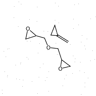 C(OCC1CO1)C1CO1.C=C1CC1